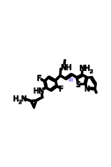 CNCC(/C=C/c1sc2nc(C)ccc2c1N)c1cc(F)c(NCC2CC2N)cc1F